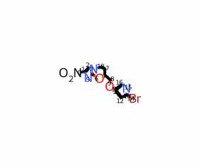 O=[N+]([O-])c1cn2c(n1)OC(COc1ccc(Br)nc1)CC2